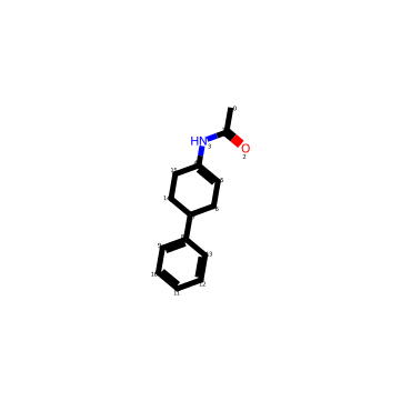 CC(=O)NC1=CCC(c2ccccc2)CC1